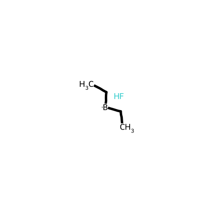 CC[B]CC.F